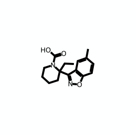 CCC1(c2noc3ccc(C)cc23)CCCCN1C(=O)O